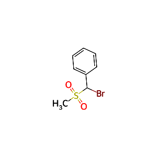 CS(=O)(=O)C(Br)c1ccccc1